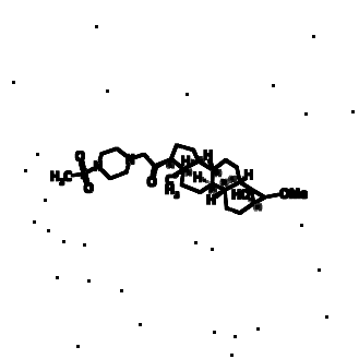 COC1C2[C@H]3CC[C@@H]4[C@H](CC[C@]5(C)[C@@H](C(=O)CN6CCN(S(C)(=O)=O)CC6)CC[C@@H]45)[C@H]3CC[C@]12O